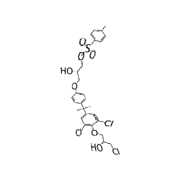 Cc1ccc(S(=O)(=O)OC[C@@H](O)COc2ccc(C(C)(C)c3cc(Cl)c(OC[C@H](O)CCl)c(Cl)c3)cc2)cc1